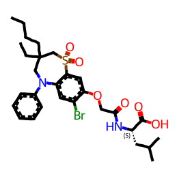 CCCCC1(CC)CN(c2ccccc2)c2cc(Br)c(OCC(=O)N[C@@H](CC(C)C)C(=O)O)cc2S(=O)(=O)C1